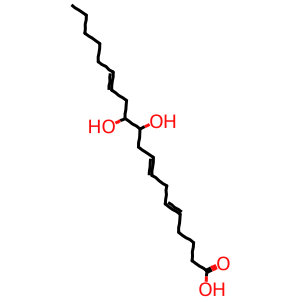 CCCCC/C=C/CC(O)C(O)C/C=C/C/C=C/CCCC(=O)O